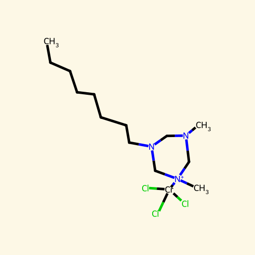 CCCCCCCCN1CN(C)C[N+](C)([Cr]([Cl])([Cl])[Cl])C1